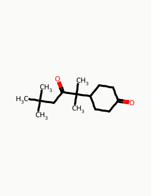 CC(C)(C)CC(=O)C(C)(C)C1CCC(=O)CC1